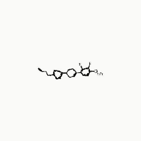 C=CCCc1ccc(C2CC=C(c3ccc(OCCC)c(F)c3F)CC2)cc1